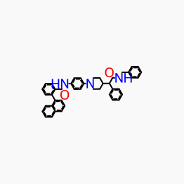 O=C(Nc1ccc(N2CCC(C(C(=O)NCc3ccccc3)c3ccccc3)CC2)cc1)c1ccccc1-c1cccc2ccccc12